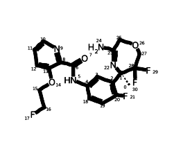 C[C@]1(c2cc(NC(=O)c3ncccc3OCCF)ccc2F)N=C(N)COCC1(F)F